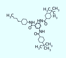 CCCC[C@H]1CC[C@@H](NC(=O)c2cc(NC(=O)C3CCC(C(C)(C)C)CC3)cc(NC(=O)C3CCC(C(C)(C)C)CC3)c2)CC1